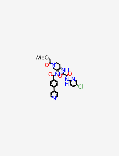 COCC(=O)N1CC[C@H](NC(=O)C(=O)Nc2ccc(Cl)cn2)[C@H](NC(=O)c2ccc(-c3ccncc3)cc2)C1